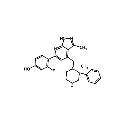 Cc1n[nH]c2nc(-c3ccc(O)cc3F)cc(CN3CCNC[C@]3(C)c3ccccc3)c12